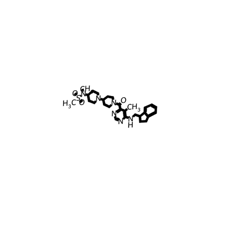 Cc1c(NCC2CCc3ccccc32)ncnc1C(=O)N1CCC(N2CCC(N(C)S(C)(=O)=O)CC2)CC1